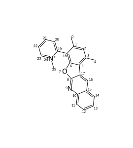 Cc1cc(C)c2c(oc3nc4ccccc4cc32)c1-c1cccc[n+]1C